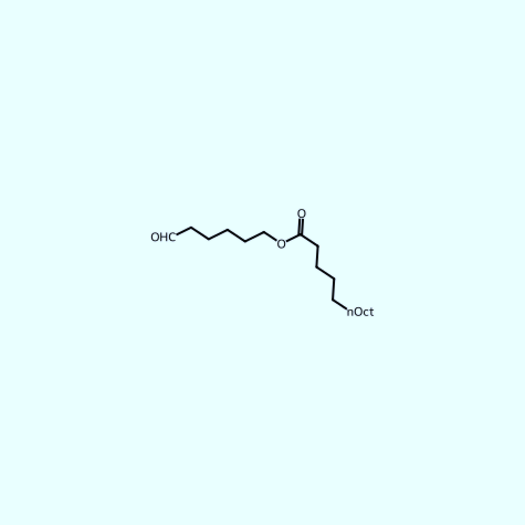 CCCCCCCCCCCCC(=O)OCCCCCC=O